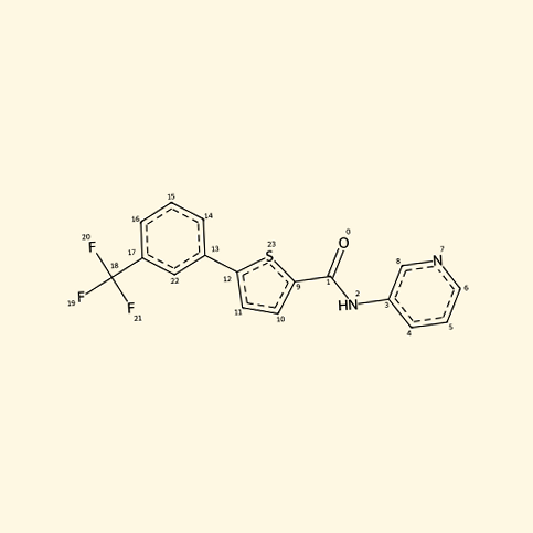 O=C(Nc1cccnc1)c1ccc(-c2cccc(C(F)(F)F)c2)s1